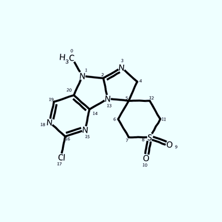 CN1C2=NCC3(CCS(=O)(=O)CC3)N2c2nc(Cl)ncc21